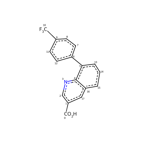 O=C(O)c1cnc2c(-c3ccc(C(F)(F)F)cc3)cccc2c1